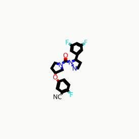 N#Cc1cc(OC2CCN(C(=O)N3N=CCC3c3cc(F)cc(F)c3)C2)ccc1F